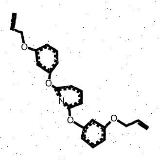 C=CCOc1cccc(Oc2cccc(Oc3cccc(OCC=C)c3)n2)c1